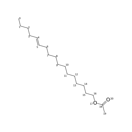 CCCC/C=C/CCCCCCCCCCCOC(C)=O